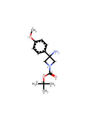 COc1ccc(C2(N)CN(C(=O)OC(C)(C)C)C2)cc1